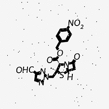 C[C@@]1(Cn2ncc(C=O)n2)S[C@H]2CC(=O)N2[C@H]1C(=O)OCc1ccc([N+](=O)[O-])cc1